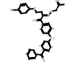 CC(=O)CO/N=C(\CCSc1ccc(Cl)cc1)C(=O)c1ccc(Sc2ccc(C(=O)c3ccccc3)cc2)cc1